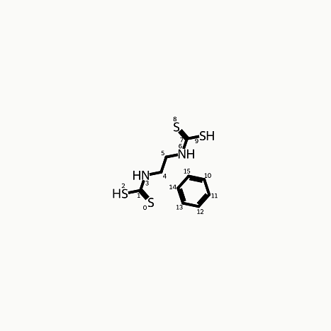 S=C(S)NCCNC(=S)S.c1ccccc1